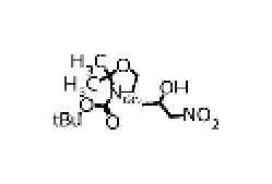 CC(C)(C)OC(=O)N1[C@@H](CC(O)C[N+](=O)[O-])COC1(C)C